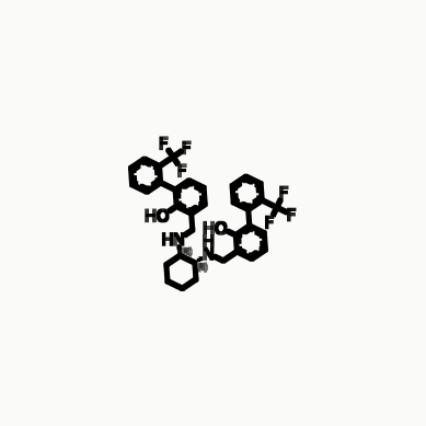 Oc1c(CN[C@@H]2CCCC[C@H]2NCc2cccc(-c3ccccc3C(F)(F)F)c2O)cccc1-c1ccccc1C(F)(F)F